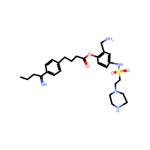 CCCC(=N)c1ccc(CCCC(=O)Oc2ccc(NS(=O)(=O)CCN3CCNCC3)cc2CN)cc1